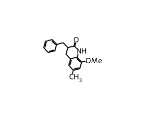 COc1cc(C)cc2c1NC(=O)C(Cc1ccccc1)C2